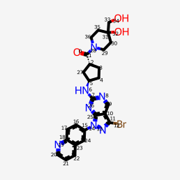 O=C([C@@H]1CC[C@@H](Nc2ncc3c(Br)nn(-c4ccc5ncccc5c4)c3n2)C1)N1CCC(O)(CO)CC1